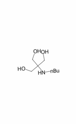 CCCCNC(CO)(CO)CO